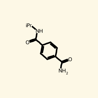 CC(C)NC(=O)c1ccc(C(N)=O)cc1